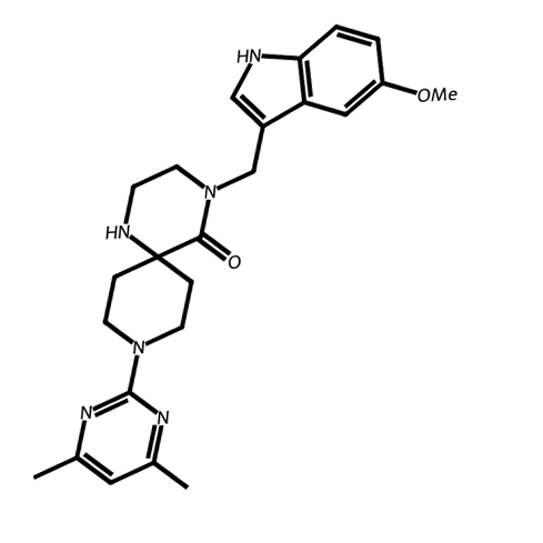 COc1ccc2[nH]cc(CN3CCNC4(CCN(c5nc(C)cc(C)n5)CC4)C3=O)c2c1